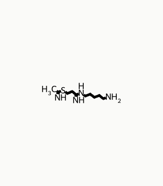 CC(=N)SCCC(=N)NCCCCCN